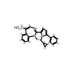 CN1C(c2ccc(-c3ccccc3)n2CC2CC2)=NC=C(C(=O)O)c2ccccc21